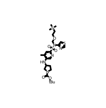 Cc1cc(S(=O)(=O)N(COCC[Si](C)(C)C)c2cscn2)ncc1NC1CCN(C(=O)OC(C)(C)C)C1